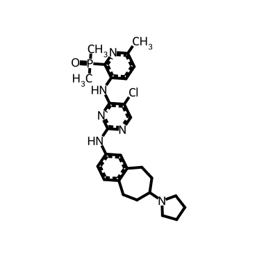 Cc1ccc(Nc2nc(Nc3ccc4c(c3)CCC(N3CCCC3)CC4)ncc2Cl)c(P(C)(C)=O)n1